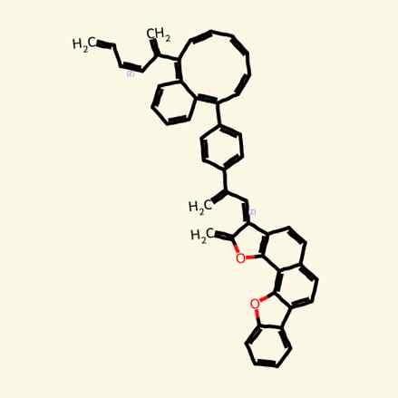 C=C/C=C\C(=C)c1ccccccc(-c2ccc(C(=C)/C=c3\c(=C)oc4c3ccc3ccc5c6ccccc6oc5c34)cc2)c2ccccc12